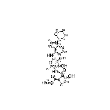 Cc1nc2c(N[C@H]3O[C@@H](C)[C@H](NC(=O)[C@H]4[C@@H](O)CCN4C(=O)OC(C)(C)C)[C@@H](O)[C@@H]3O)ncnc2n1C1CCCCO1